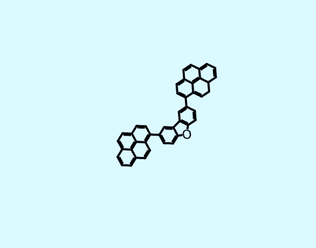 C1=CC2CC=c3c(-c4ccc5oc6ccc(-c7ccc8ccc9cccc%10ccc7c8c9%10)cc6c5c4)ccc4ccc(c2c34)=C1